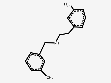 Cc1cccc(CCNCc2cccc(C)c2)c1